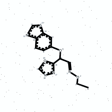 CCON=CC(Oc1ccc2ncsc2c1)c1nnco1